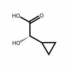 O=C(O)[C@@H](O)C1CC1